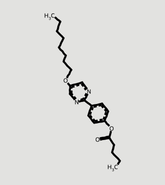 CCCCCCCCOc1cnc(-c2ccc(OC(=O)CCCC)cc2)nc1